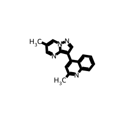 Cc1cnc2c(-c3cc(C)nc4ccccc34)cnn2c1